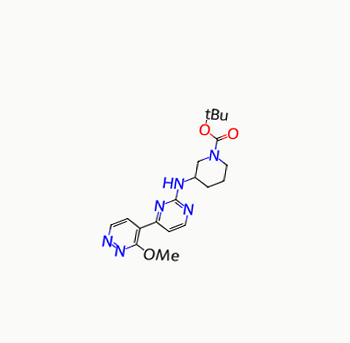 COc1nnccc1-c1ccnc(NC2CCCN(C(=O)OC(C)(C)C)C2)n1